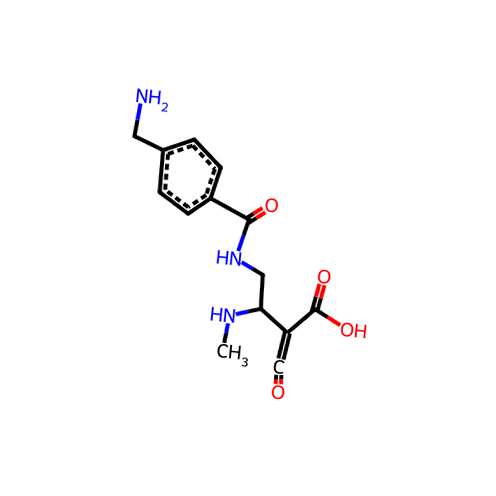 CNC(CNC(=O)c1ccc(CN)cc1)C(=C=O)C(=O)O